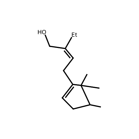 CCC(=CCC1=CCC(C)C1(C)C)CO